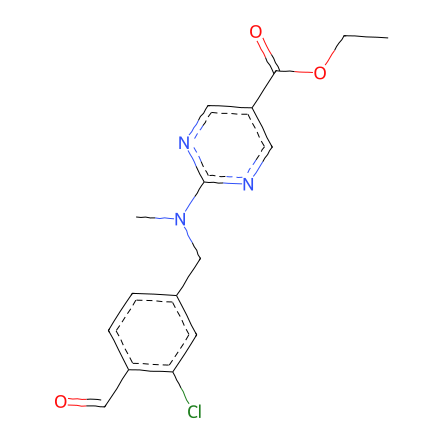 CCOC(=O)c1cnc(N(C)Cc2ccc(C=O)c(Cl)c2)nc1